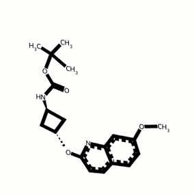 COc1ccc2ccc(O[C@H]3C[C@H](NC(=O)OC(C)(C)C)C3)nc2c1